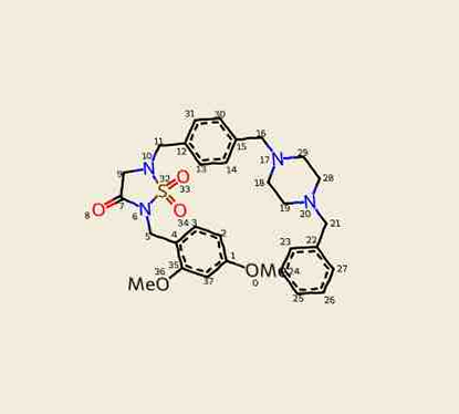 COc1ccc(CN2C(=O)CN(Cc3ccc(CN4CCN(Cc5ccccc5)CC4)cc3)S2(=O)=O)c(OC)c1